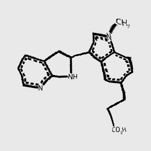 Cn1cc(C2Cc3cccnc3N2)c2cc(CCC(=O)O)ccc21